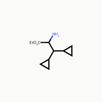 CCOC(=O)C(N)C(C1CC1)C1CC1